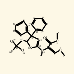 COC=C(C(=O)OC)N(C)C1=NC(c2ccccc2)(c2ccccc2)C(SC(F)(Cl)Cl)S1